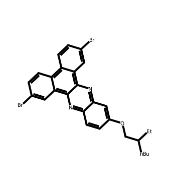 CCCCC(CC)COc1ccc2nc3c4cc(Br)ccc4c4ccc(Br)cc4c3nc2c1